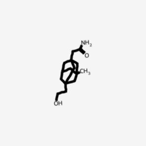 CC12CC3CC(CCO)(C1)CC(CC(N)=O)(C3)C2